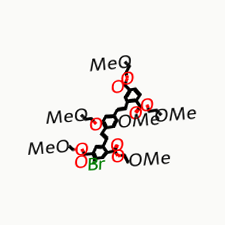 COCCOC(=O)c1ccc(C(=O)OCCOC)c(/C=C/c2cc(OCCOC)c(/C=C/c3cc(C(=O)OCCOC)c(Br)cc3C(=O)OCCOC)cc2OC)c1